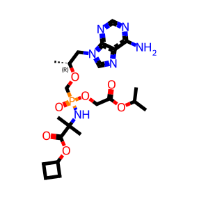 CC(C)OC(=O)COP(=O)(CO[C@H](C)Cn1cnc2c(N)ncnc21)NC(C)(C)C(=O)OC1CCC1